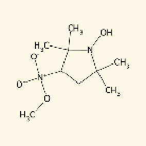 CO[N+]([O-])([O-])C1CC(C)(C)N(O)C1(C)C